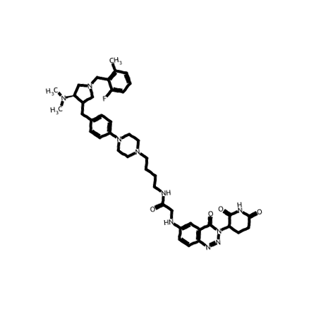 Cc1cccc(F)c1CN1CC(Cc2ccc(N3CCN(CCCCNC(=O)CNc4ccc5nnn(C6CCC(=O)NC6=O)c(=O)c5c4)CC3)cc2)[C@@H](N(C)C)C1